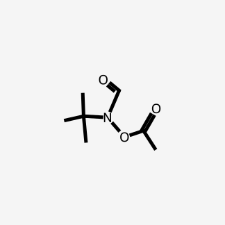 CC(=O)ON(C=O)C(C)(C)C